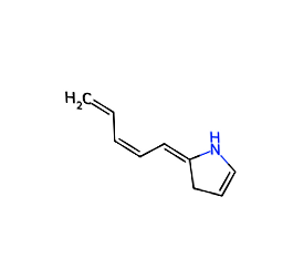 C=C/C=C\C=C1/CC=CN1